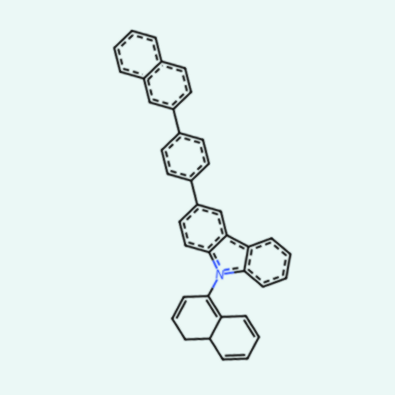 C1=CC2=C(n3c4ccccc4c4cc(-c5ccc(-c6ccc7ccccc7c6)cc5)ccc43)C=CCC2C=C1